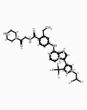 CCc1cc(Nc2nccn3c(-c4cn(CC(F)F)nc4C(F)(F)F)cnc23)ccc1C(=O)NCC(=O)N1CCNCC1